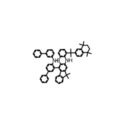 CC1(C)CCC(C)(C)c2cc(C(C)(C)c3cccc4c3Nc3cc5c(c6c3B4N(c3cccc(-c4ccccc4)c3)c3ccc(-c4ccccc4)cc3-6)-c3ccccc3C5(C)C)ccc21